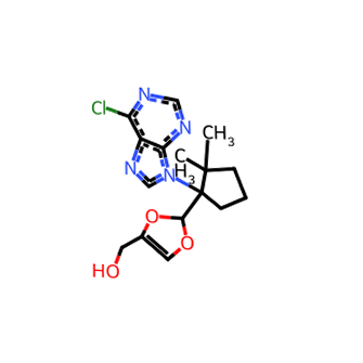 CC1(C)CCCC1(C1OC=C(CO)O1)n1cnc2c(Cl)ncnc21